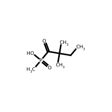 CCC(C)(C)C(=O)P(C)(=O)O